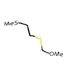 CO[C]SCCSC